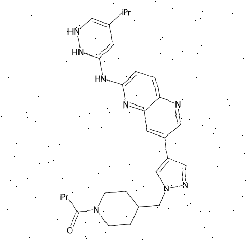 CC(C)C(=O)N1CCC(Cn2cc(-c3cnc4ccc(NC5=CC(C(C)C)=CNN5)nc4c3)cn2)CC1